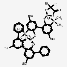 CCC1(CC)OP(Oc2c(-c3cc(C(C)(C)C)cc([Si](C)(C)C)c3Op3oc4c(-c5ccccc5)cc(C(C)(C)C)cc4c4cc(C(C)(C)C)cc(-c5ccccc5)c4o3)cc(C(C)(C)C)cc2[Si](C)(C)C)OC1=O